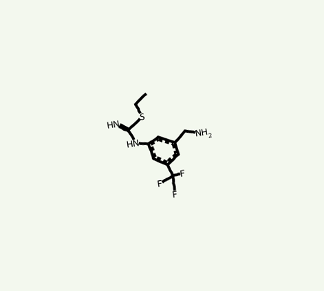 CCSC(=N)Nc1cc(CN)cc(C(F)(F)F)c1